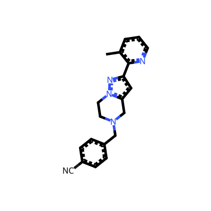 Cc1cccnc1-c1cc2n(n1)CCN(Cc1ccc(C#N)cc1)C2